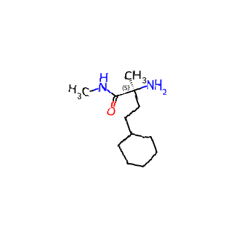 CNC(=O)[C@@](C)(N)CCC1CCCCC1